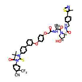 Cc1ncsc1-c1ccc(CNC(=O)[C@@H]2C[C@@H](O)CN2C(=O)[C@@H](NC(=O)COc2ccc(Oc3cccc(-c4ccc(N5C(=S)N(c6ccc(C#N)c(C(F)(F)F)c6)C(=O)C5(C)C)cc4)c3)cc2)C(C)(C)C)cc1